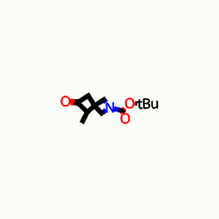 CC1C(=O)CC12CN(C(=O)OC(C)(C)C)C2